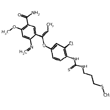 C=Nc1cc(OC)c(C(N)=O)cc1/C(=C\C)Oc1ccc(NC(=S)NCCCSC)c(Cl)c1